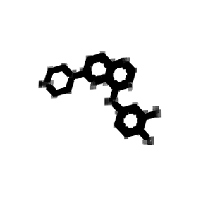 Clc1ccc(Nc2ncnc3ccc(N4CCNCC4)nc23)cc1Cl